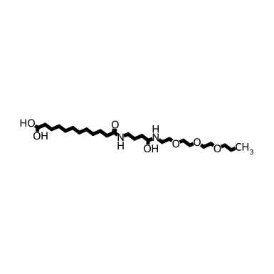 CCCOCCOCCOCCNC(O)CCCNC(=O)CCCCCCCCCCC(O)O